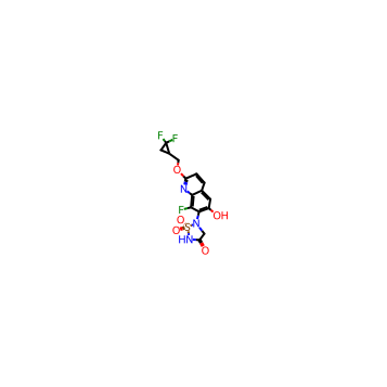 O=C1CN(c2c(O)cc3ccc(OCC4CC4(F)F)nc3c2F)S(=O)(=O)N1